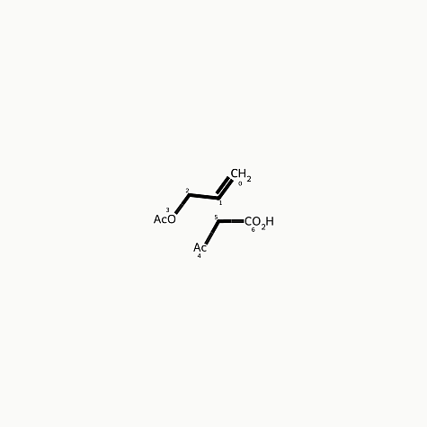 C=CCOC(C)=O.CC(=O)CC(=O)O